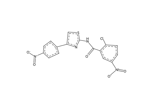 O=C(Nc1nc(-c2ccc([N+](=O)[O-])cc2)cs1)c1cc([N+](=O)[O-])ccc1Cl